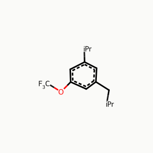 [CH2]C(C)c1cc(CC(C)C)cc(OC(F)(F)F)c1